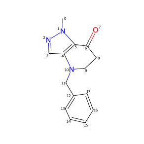 Cn1ncc2c1C(=O)CCN2Cc1ccccc1